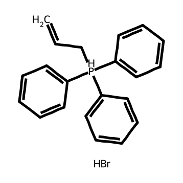 Br.C=CC[PH](c1ccccc1)(c1ccccc1)c1ccccc1